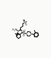 Cc1ccccc1N1CCN(S(=O)(=O)CC23CCC(C[C@@H]2N(N)C(=O)CCCS(C)(=O)=O)C3(C)C)CC1